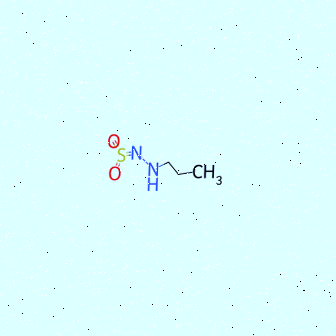 CCCNN=S(=O)=O